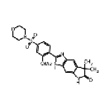 COc1cc(S(=O)(=O)N2CCOCC2)ccc1-c1nc2cc3c(cc2[nH]1)NC(=O)C3(C)C